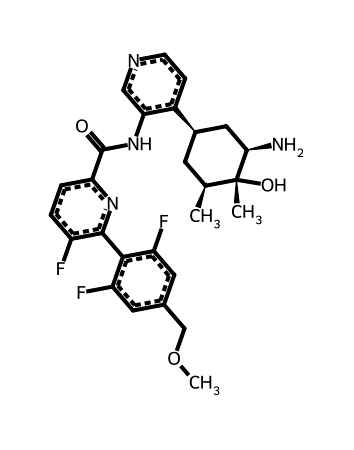 COCc1cc(F)c(-c2nc(C(=O)Nc3cnccc3[C@H]3C[C@@H](N)[C@](C)(O)[C@@H](C)C3)ccc2F)c(F)c1